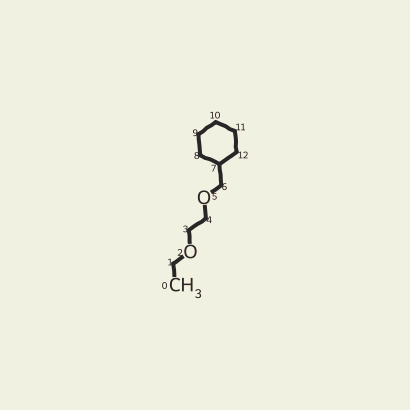 CCOCCOCC1CCCCC1